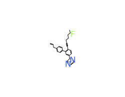 C=CCc1ccc(-c2cc(-c3cnccn3)ccc2C#CCCCC(C)F)cc1